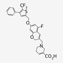 O=C(O)C1=CCCN(CC2=Cc3c(F)cc(OCc4cc(-c5ccccc5)c(C(F)(F)F)s4)cc3OC2)C1